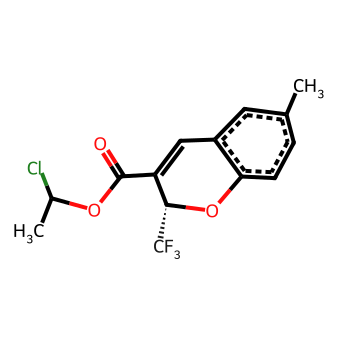 Cc1ccc2c(c1)C=C(C(=O)OC(C)Cl)[C@@H](C(F)(F)F)O2